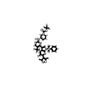 Cc1noc(C)c1-c1nc2c(cc1F)c(-c1nc(N[C@H]3CCCN(C(=O)OC(C)(C)C)C3)ncc1C(F)(F)F)cn2S(=O)(=O)c1ccccc1